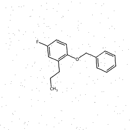 CCCc1cc(F)ccc1OCc1ccccc1